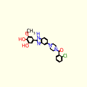 COc1cc(-c2nc3cc(N4CCN(C(=O)c5ccccc5Cl)CC4)ccc3[nH]2)cc(O)c1O